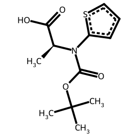 C[C@@H](C(=O)O)N(C(=O)OC(C)(C)C)c1cccs1